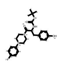 CC(C)(C)OC(=O)NC(Cc1ccc(O)cc1)C(=O)N1CCN(c2ccc(F)cc2)CC1